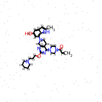 C=CC(=O)N1CCN(c2nc(OCCCN3CCCCC3)nc3c2CCN(c2cc(O)cc4cc(C)[nH]c24)C3)CC1